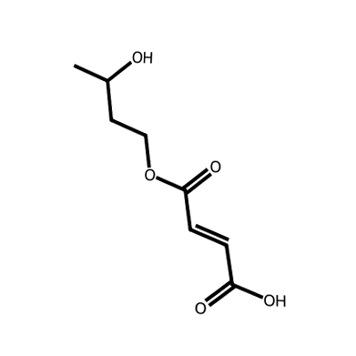 CC(O)CCOC(=O)C=CC(=O)O